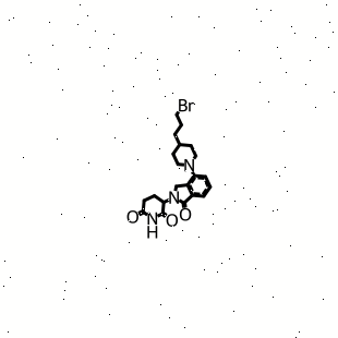 O=C1CCC(N2Cc3c(cccc3N3CCC(CCCBr)CC3)C2=O)C(=O)N1